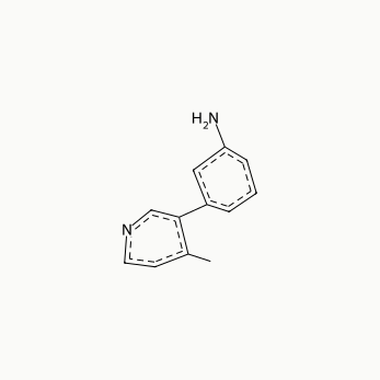 Cc1ccncc1-c1cccc(N)c1